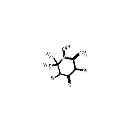 C=C1C(Br)C(=O)C(Br)C(C)(C)N1O